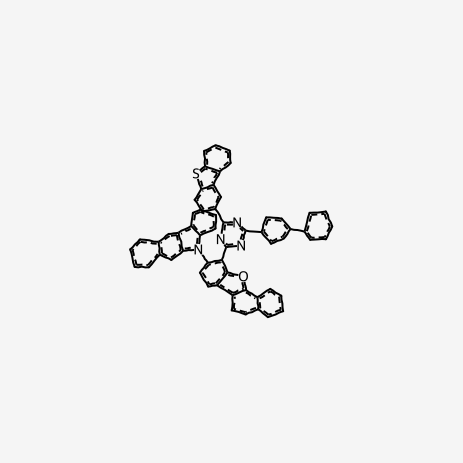 c1ccc(-c2ccc(-c3nc(-c4ccc5sc6ccccc6c5c4)nc(-c4c(-n5c6ccccc6c6cc7ccccc7cc65)ccc5c4oc4c6ccccc6ccc54)n3)cc2)cc1